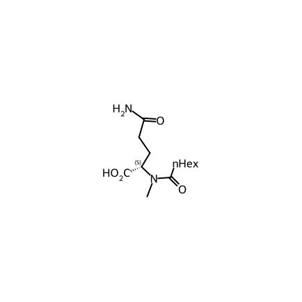 CCCCCCC(=O)N(C)[C@@H](CCC(N)=O)C(=O)O